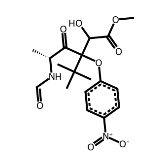 COC(=O)C(O)C(Oc1ccc([N+](=O)[O-])cc1)(C(=O)[C@@H](C)NC=O)C(C)(C)C